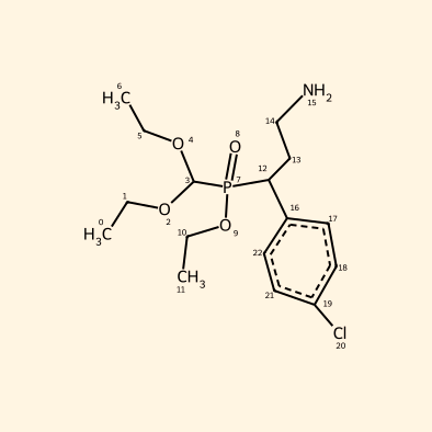 CCOC(OCC)P(=O)(OCC)C(CCN)c1ccc(Cl)cc1